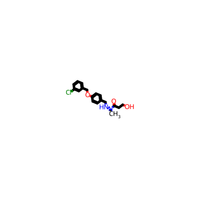 CN(NCc1ccc(OCc2cccc(Cl)c2)cc1)C(=O)CCO